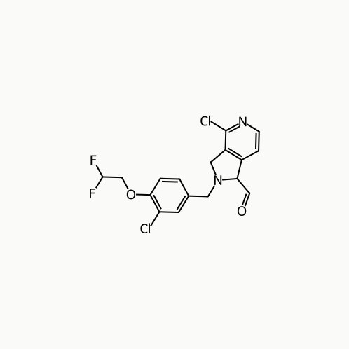 O=CC1c2ccnc(Cl)c2CN1Cc1ccc(OCC(F)F)c(Cl)c1